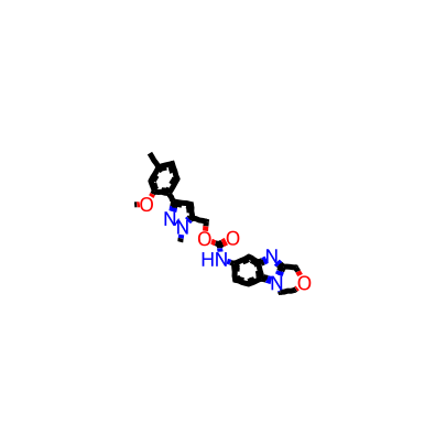 COc1cc(C)ccc1-c1cc(COC(=O)Nc2ccc3c(c2)nc2n3CCOC2)n(C)n1